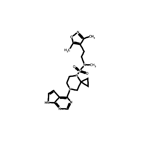 Cc1noc(C)c1CCN(C)S(=O)(=O)N1CCN(c2ncnc3[nH]ccc23)CC12CC2